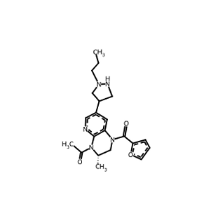 CCCN1CC(c2cnc3c(c2)N(C(=O)c2ccco2)C[C@H](C)N3C(C)=O)CN1